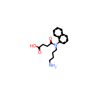 NCCCCN(C(=O)CCC(=O)O)c1cccc2ccccc12